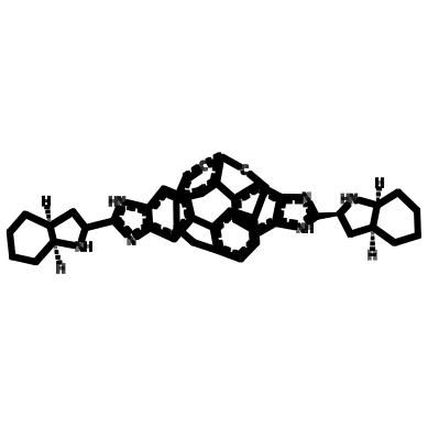 c1cc2c(-c3ccc4[nH]c(C5C[C@@H]6CCCC[C@@H]6N5)nc4c3)cc1CCc1ccc(cc1-c1ccc3[nH]c([C@@H]4C[C@@H]5CCCC[C@@H]5N4)nc3c1)CC2